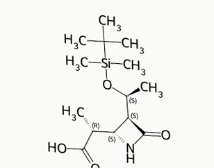 C[C@H](O[Si](C)(C)C(C)(C)C)[C@H]1C(=O)N[C@@H]1[C@@H](C)C(=O)O